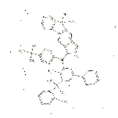 Cc1ccccc1S(C)(C)c1cc(-c2ccccc2)cc(N(c2ccc(C(C)(C)C)cc2)c2c(I)sc3cc4c(cc23)-c2ccccc2C4(C)C)c1C